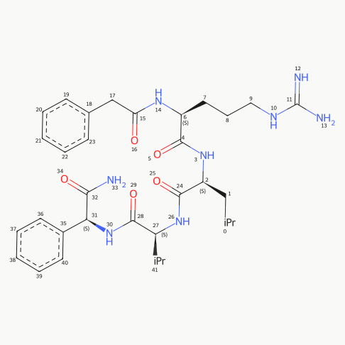 CC(C)C[C@H](NC(=O)[C@H](CCCNC(=N)N)NC(=O)Cc1ccccc1)C(=O)N[C@H](C(=O)N[C@H](C(N)=O)c1ccccc1)C(C)C